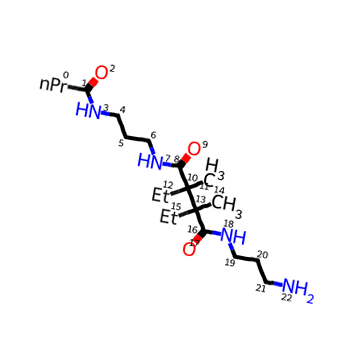 CCCC(=O)NCCCNC(=O)C(C)(CC)C(C)(CC)C(=O)NCCCN